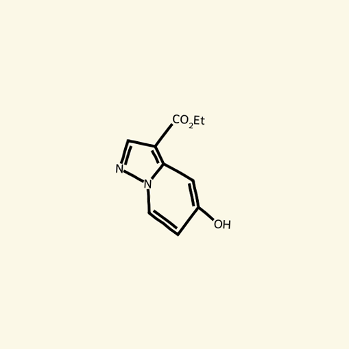 CCOC(=O)c1cnn2ccc(O)cc12